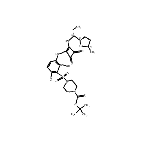 CC[C@@H](Nc1c(Nc2ccc(Cl)c(S(=O)(=O)N3CCN(C(=O)OC(C)(C)C)CC3)c2O)c(=O)c1=O)[C@H]1CC[C@@H](C)O1